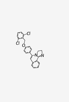 Clc1cccc(Cl)c1COc1ccc(C2=Cc3ccccc3C3=NCCN23)cc1